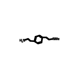 CNCCc1ccc(CCN)cc1